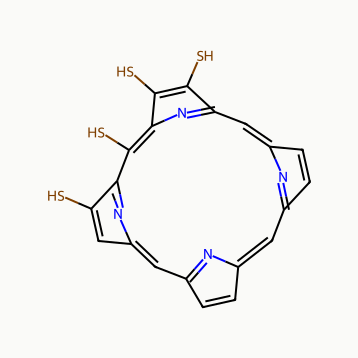 SC1=CC2=CC3=NC(=CC4=NC(=CC5=NC(=C(S)C1=N2)C(S)=C5S)C=C4)C=C3